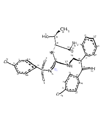 C[C@H](O)[C@@H](N/C(=N\S(=O)(=O)c1ccc(Cl)cc1)NC[C@H](C(=N)c1ccc(Cl)cc1)c1ccccc1)C(N)=O